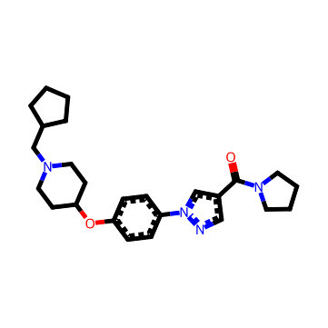 O=C(c1cnn(-c2ccc(OC3CCN(CC4CCCC4)CC3)cc2)c1)N1CCCC1